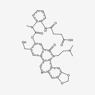 CN(C)CCn1c(=O)c2cc(OC(=O)N(C)c3ccccc3NC(=O)CCC(=O)O)c(CO)cc2c2cnc3cc4c(cc3c21)OCO4